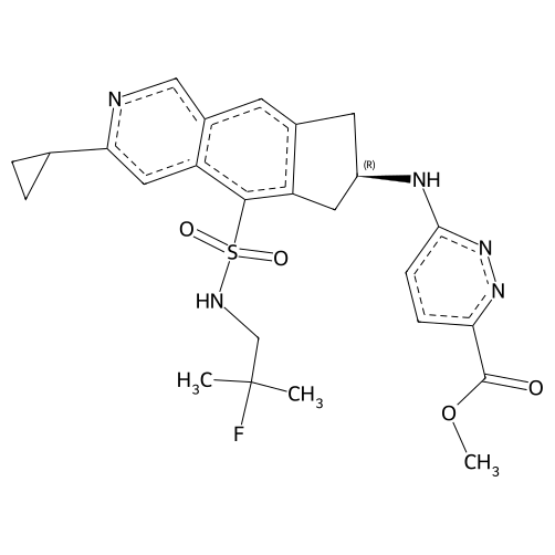 COC(=O)c1ccc(N[C@@H]2Cc3cc4cnc(C5CC5)cc4c(S(=O)(=O)NCC(C)(C)F)c3C2)nn1